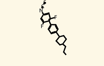 CCCC1CCC(c2ccc(-c3c(F)cc(N=C=S)cc3F)cc2)CC1